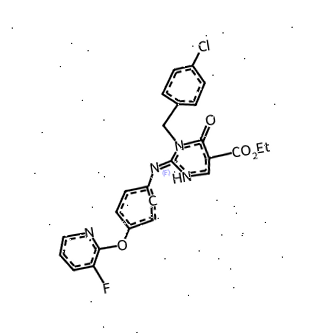 CCOC(=O)c1c[nH]/c(=N\c2ccc(Oc3ncccc3F)cc2)n(Cc2ccc(Cl)cc2)c1=O